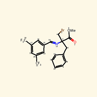 COC(=O)C(CBr)(Cc1ccccc1)N=Cc1cc(C(F)(F)F)cc(C(F)(F)F)c1